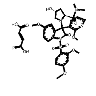 COc1ccc(S(=O)(=O)N2C(=O)C(c3cccnc3OC)(N3C[C@H](O)C[C@H]3C(=O)N(C)C)c3cc(OC)ccc32)c(OC)c1.O=C(O)C=CC(=O)O